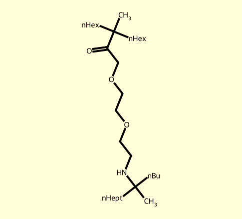 CCCCCCCC(C)(CCCC)NCCOCCOCC(=O)C(C)(CCCCCC)CCCCCC